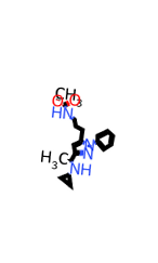 COC(=O)NCCCc1cc([C@@H](C)NC2CC2)nn1-c1ccccc1